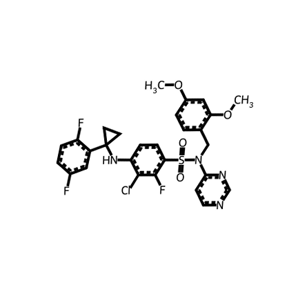 COc1ccc(CN(c2ccncn2)S(=O)(=O)c2ccc(NC3(c4cc(F)ccc4F)CC3)c(Cl)c2F)c(OC)c1